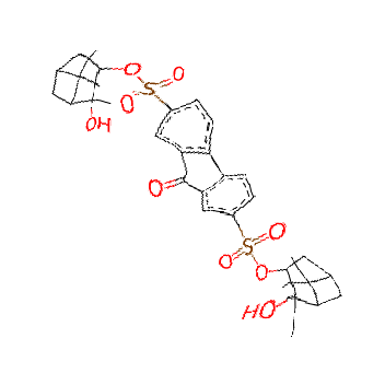 CC1(C)C2CC(OS(=O)(=O)c3ccc4c(c3)C(=O)c3cc(S(=O)(=O)OC5CC6CC(C6(C)C)C5(C)O)ccc3-4)C(C)(O)C1C2